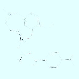 C=C(C)[C@@]12CCN(C)Cc3ccc(OC)c(c31)OC2C[C@H](C)OC(=O)c1ccc(C(C)=O)cc1